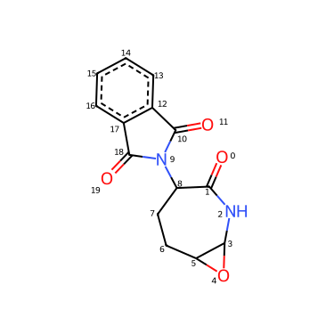 O=C1NC2OC2CCC1N1C(=O)c2ccccc2C1=O